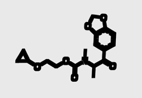 CC(C(=O)c1ccc2c(c1)OCO2)N(C)C(=O)OCCOC1CC1